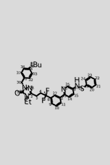 CCn1c(CCC(F)(F)c2cccc(-c3ccc(NSc4ccccc4)cn3)c2)nn(Cc2ccc(C(C)(C)C)cc2)c1=O